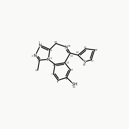 Cc1nnc2n1-c1ccc(S)cc1C(c1cccs1)=NC2